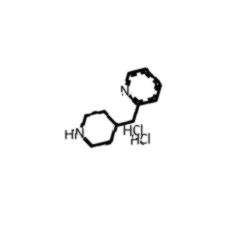 Cl.Cl.c1ccc(CC2CCNCC2)nc1